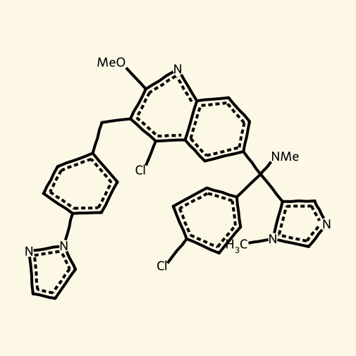 CNC(c1ccc(Cl)cc1)(c1ccc2nc(OC)c(Cc3ccc(-n4cccn4)cc3)c(Cl)c2c1)c1cncn1C